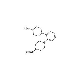 CCCC(C)N1CCN(c2ccccc2C2CCC(C(C)(C)C)CC2)CC1